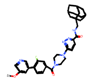 CCOc1cncc(-c2ccc(C(=O)N3CCN(c4ccc(C(=O)NCC56CC7CC(CC(C7)C5)C6)nn4)CC3)cc2F)c1